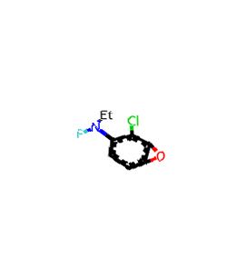 CCN(F)c1ccc2c(c1Cl)O2